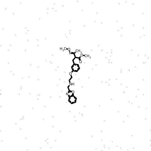 CON=C(C)C(Cc1cccc(OCCNCc2nc3ccccc3o2)c1)C(=O)OC